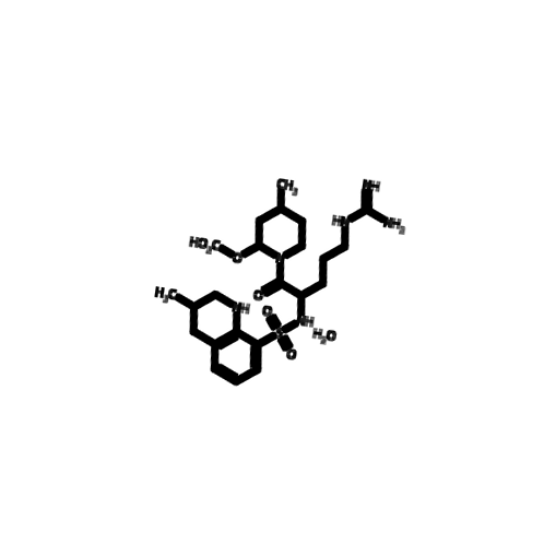 CC1CNc2c(cccc2S(=O)(=O)NC(CCCNC(=N)N)C(=O)N2CCC(C)CC2OC(=O)O)C1.O